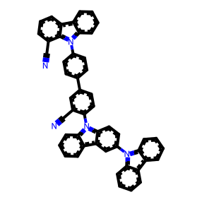 N#Cc1cc(-c2ccc(-n3c4ccccc4c4cccc(C#N)c43)cc2)ccc1-n1c2ccccc2c2cc(-n3c4ccccc4c4ccccc43)ccc21